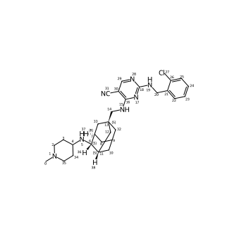 CN1CCC(N[C@@H]2[C@@H]3CC4C[C@H]2C[C@@](CNc2nc(NCc5ccccc5Cl)ncc2C#N)(C4)C3)CC1